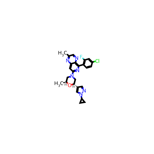 Cc1cnc2c(-c3ccc(Cl)cc3F)nc(N3C[C@H](C)O[C@@H](c4cnn(C5CC5)c4)C3)cc2n1